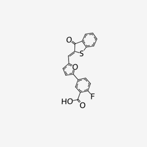 O=C(O)c1cc(-c2ccc(/C=C3\Sc4ccccc4C3=O)o2)ccc1F